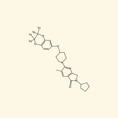 [2H]C1([2H])Oc2ccc(OC3CCN(c4nc5c(cc4C)C(=O)N(C4CCCC4)C5)CC3)cc2OC1([2H])[2H]